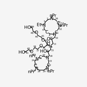 CCCN1CCN(CC)CCCN(CC(O)CN(CC(O)CN2CCN(CCC)CCN(CCC)CCN(CCC)CC2)C(COCCOCCO)COCCOCCO)CCN(CCC)CC1